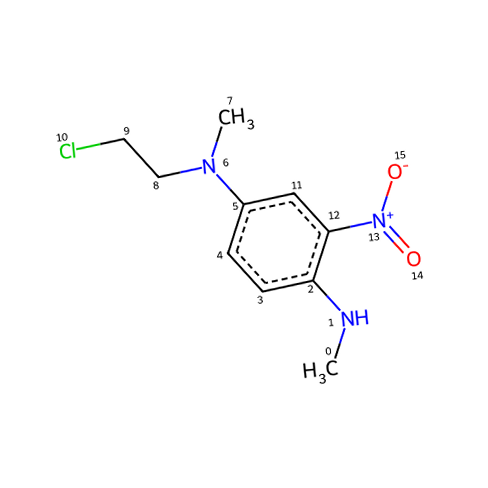 CNc1ccc(N(C)CCCl)cc1[N+](=O)[O-]